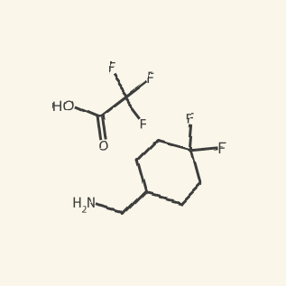 NCC1CCC(F)(F)CC1.O=C(O)C(F)(F)F